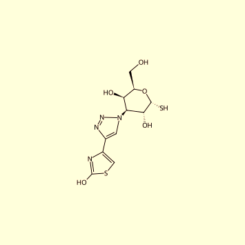 OC[C@H]1O[C@H](S)[C@H](O)[C@@H](n2cc(-c3csc(O)n3)nn2)[C@H]1O